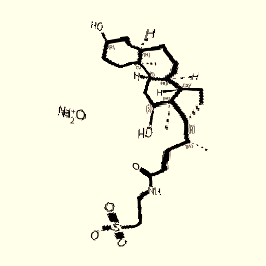 C[C@H](CCC(=O)NCCS(=O)(=O)[O-])[C@H]1CC[C@H]2[C@@H]3CC[C@@H]4C[C@H](O)CC[C@]4(C)[C@H]3C[C@H](O)[C@]12C.O.[Na+]